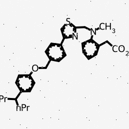 CCCC(CCC)c1ccc(OCc2ccc(-c3csc(CN(C)c4ccccc4CC(=O)O)n3)cc2)cc1